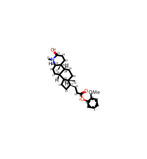 COc1ccccc1OC(=O)CC[C@H]1CC[C@H]2[C@@H]3CC[C@H]4N(C)C(=O)CC[C@]4(C)[C@H]3CC[C@]12C